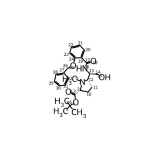 CN1[C@@H](C(=O)OC(C)(C)C)CC[C@H]1[C@H](CO)NC(=O)c1ccccc1OCc1ccccc1